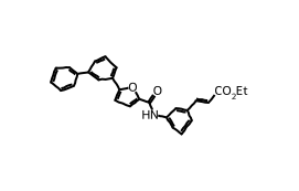 CCOC(=O)C=Cc1cccc(NC(=O)c2ccc(-c3cccc(-c4ccccc4)c3)o2)c1